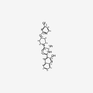 CC(C)[C@H](NC(=O)c1nc2ccccc2nc1O)C(=O)N1CCC(Oc2nccc(C(F)(F)F)n2)CC1